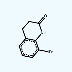 CC(C)c1cccc2c1NC(=O)CC2